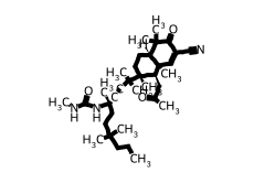 CCCC(C)(C)CC[C@@](C)(CCC(C)(C)[C@]1(C)CC[C@H]2C(C)(C)C(=O)C(C#N)=C[C@]2(C)[C@H]1CC(C)=O)NC(=O)NC